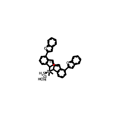 CCC1=Cc2c(-c3cc4ccccc4o3)cccc2[CH]1[Zr]([CH3])([CH3])(=[SiH2])[CH]1C(CC)=Cc2c(-c3cc4ccccc4o3)cccc21.Cl.Cl